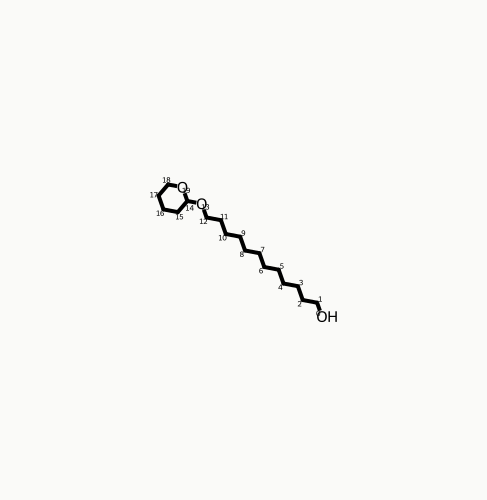 OCCCCCCCCCCCCOC1CCCCO1